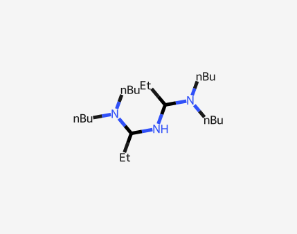 CCCCN(CCCC)C(CC)NC(CC)N(CCCC)CCCC